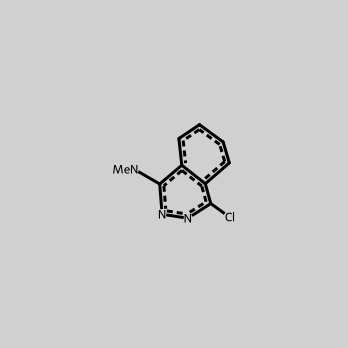 CNc1nnc(Cl)c2ccccc12